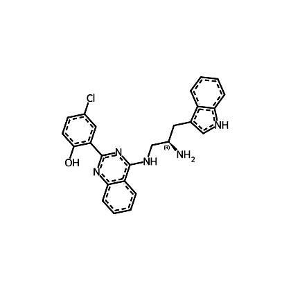 N[C@@H](CNc1nc(-c2cc(Cl)ccc2O)nc2ccccc12)Cc1c[nH]c2ccccc12